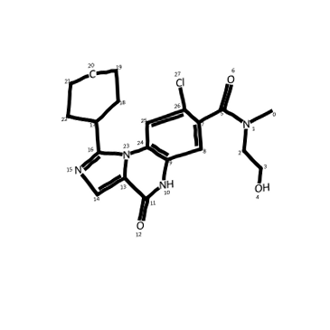 CN(CCO)C(=O)c1cc2[nH]c(=O)c3cnc(C4CCCCC4)n3c2cc1Cl